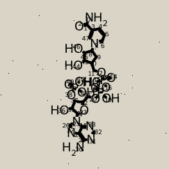 NC(=O)c1ccc[n+](C2CC(COP(=O)(O)OP(=O)(O)OCC3OC(n4cnc5c(N)ncnc54)C(O)C3OP(=O)(O)O)C(O)C2O)c1